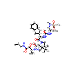 C=CCNC(=O)C(=O)C(CCC)NC(=O)[C@@H]1[C@@H]2[C@H](CN1C(=O)[C@@H](NC(=O)N[C@H](CN(C)S(=O)(=O)C(C)(C)C)C(C)(C)C)C1Cc3ccccc3C1)C2(C)C